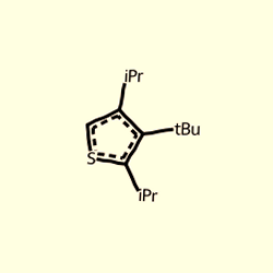 CC(C)c1csc(C(C)C)c1C(C)(C)C